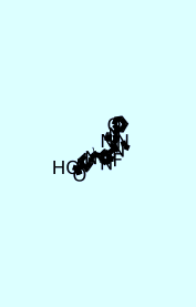 Cc1nc(-c2cc([C@@H](C)N3CCN(C(=O)O)CC3)cnc2F)c2ncn(C3CCCCO3)c2n1